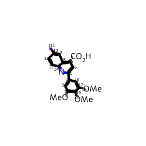 COc1cc(-c2cc(C(=O)O)c3cc(I)ccc3n2)cc(OC)c1OC